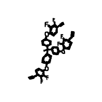 C#Cc1ccc(Oc2ccc(C(C)(c3ccc(Oc4ccc(C#C)c(F)c4F)cc3)c3ccc(Oc4ccc(C#C)c(F)c4F)cc3)cc2)c(F)c1F